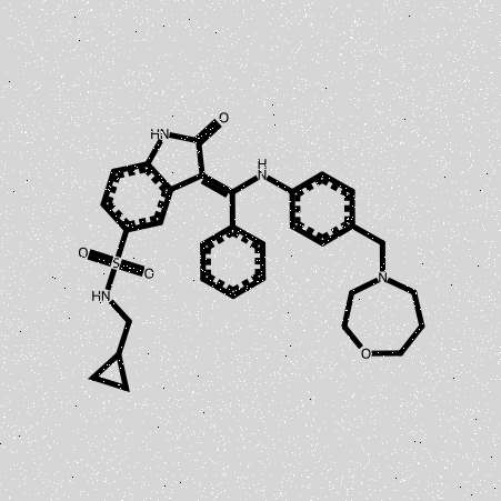 O=C1Nc2ccc(S(=O)(=O)NCC3CC3)cc2/C1=C(/Nc1ccc(CN2CCCOCC2)cc1)c1ccccc1